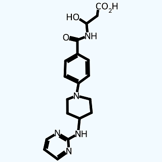 O=C(O)CC(O)NC(=O)c1ccc(N2CCC(Nc3ncccn3)CC2)cc1